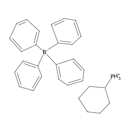 [PH3+]C1CCCCC1.c1ccc([B-](c2ccccc2)(c2ccccc2)c2ccccc2)cc1